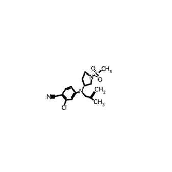 C=C(C)CN(c1ccc(C#N)c(Cl)c1)[C@H]1CCN(S(C)(=O)=O)C1